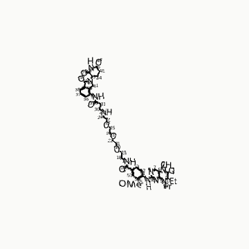 CC[C@@H]1C(=O)N(C)c2cnc(Nc3ccc(C(=O)NCCOCCOCCOCCNCCC(=O)Nc4cccc5c4CN(C4CCC(=O)NC4=O)C5=O)cc3OC)nc2N1C(C)C